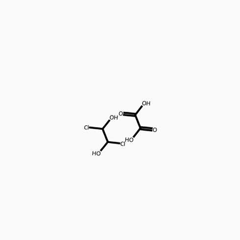 O=C(O)C(=O)O.OC(Cl)C(O)Cl